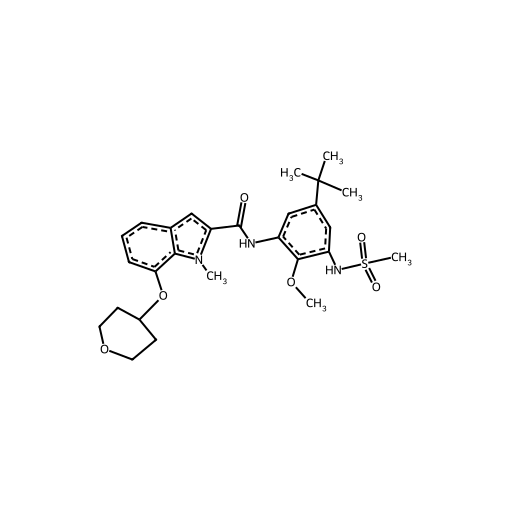 COc1c(NC(=O)c2cc3cccc(OC4CCOCC4)c3n2C)cc(C(C)(C)C)cc1NS(C)(=O)=O